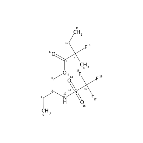 CCC(COC(=O)C(C)(F)CC)NS(=O)(=O)C(F)(F)F